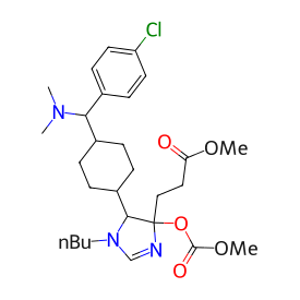 CCCCN1C=NC(CCC(=O)OC)(OC(=O)OC)C1C1CCC(C(c2ccc(Cl)cc2)N(C)C)CC1